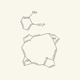 C1=Cc2cc3ccc(cc4nc(cc5ccc(cc1n2)[nH]5)C=C4)[nH]3.O=S(=O)(O)c1cccc[c]1[Mn]